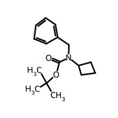 CC(C)(C)OC(=O)N(Cc1ccccc1)C1CCC1